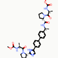 COC(=O)N[C@@H](C)C(=O)N1CCC[C@H]1C(=O)N[C@@H](C)c1ccc(-c2ccc(-c3cnc([C@@H]4CCCN4C(=O)[C@H](C)NC(=O)OC)[nH]3)cc2)cc1